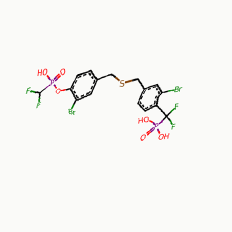 O=P(O)(Oc1ccc(CSCc2ccc(C(F)(F)P(=O)(O)O)c(Br)c2)cc1Br)C(F)F